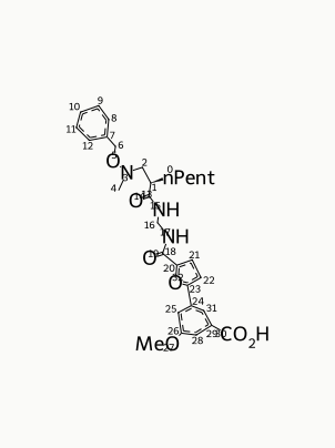 CCCCC[C@H](CN(C)OCc1ccccc1)C(=O)NCNC(=O)c1ccc(-c2cc(OC)cc(C(=O)O)c2)o1